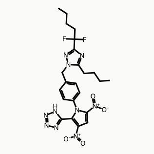 CCCCc1nc(C(F)(F)CCCC)nn1Cc1ccc(-n2c([N+](=O)[O-])cc([N+](=O)[O-])c2-c2nnn[nH]2)cc1